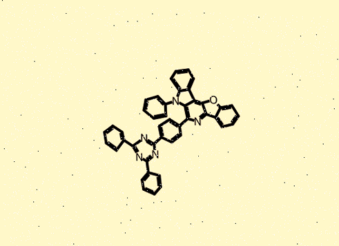 c1ccc(-c2nc(-c3ccccc3)nc(-c3ccc(-c4nc5c6ccccc6oc5c5c6ccccc6n(-c6ccccc6)c45)cc3)n2)cc1